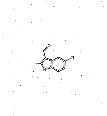 Cc1nc2ccc(Cl)cn2c1C=O